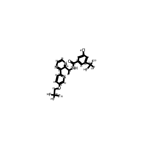 CC(NC(=O)c1cc(Cl)cc(C(F)(F)F)c1)c1nccnc1-c1ccc(OCC(F)(F)F)cn1